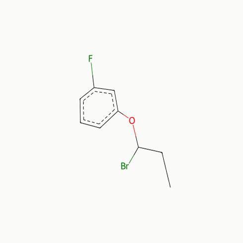 CCC(Br)Oc1cccc(F)c1